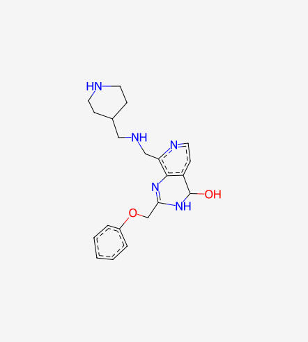 OC1NC(COc2ccccc2)=Nc2c1ccnc2CNCC1CCNCC1